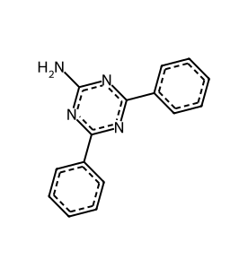 Nc1nc(-c2ccccc2)nc(-c2ccccc2)n1